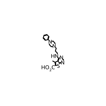 Cc1c(C(=O)O)sc2ncnc(NCCCN3CCN(c4ccccc4)CC3)c12